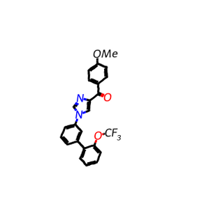 COc1ccc(C(=O)c2cn(-c3cccc(-c4ccccc4OC(F)(F)F)c3)cn2)cc1